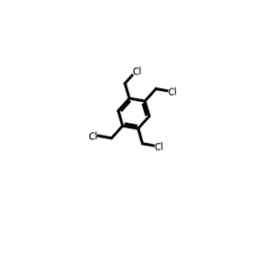 ClCc1cc(CCl)c(CCl)cc1CCl